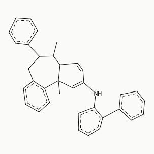 CC1C(c2ccccc2)Cc2ccccc2C2(C)C=C(Nc3ccccc3-c3ccccc3)C=CC12